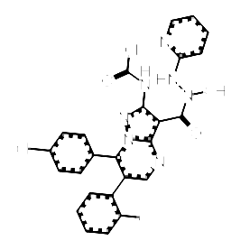 CC(=O)Nc1nn2c(-c3ccc(Cl)cc3)c(-c3ccccc3Cl)cnc2c1C(=O)N(C)Nc1ccccn1